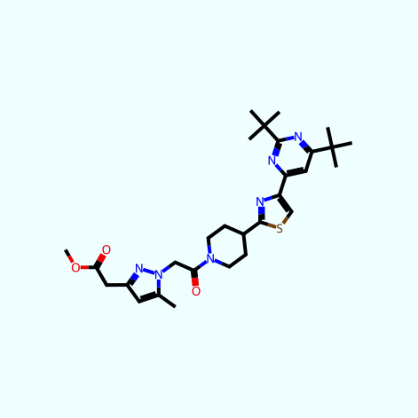 COC(=O)Cc1cc(C)n(CC(=O)N2CCC(c3nc(-c4cc(C(C)(C)C)nc(C(C)(C)C)n4)cs3)CC2)n1